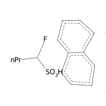 CCCC(F)S(=O)(=O)O.c1ccc2ccccc2c1